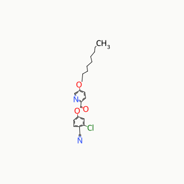 CCCCCCCCCOc1ccc(C(=O)Oc2ccc(C#N)c(Cl)c2)nc1